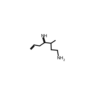 C=CCC(=N)C(C)CCN